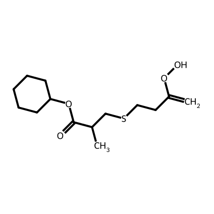 C=C(CCSCC(C)C(=O)OC1CCCCC1)OO